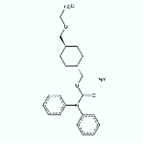 O=C([O-])COC[C@H]1CC[C@H](COC(=O)N(c2ccccc2)c2ccccc2)CC1.[Na+]